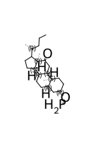 CCC[C@@H](C)C1CC[C@H]2[C@@H]3CC[C@@H]4C[C@H](OP)CC[C@]4(C)[C@H]3CC(=O)[C@]12C